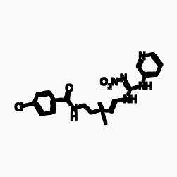 CC(C)(C=CNC(=N[N+](=O)[O-])Nc1cccnc1)CCNC(=O)c1ccc(Cl)cc1